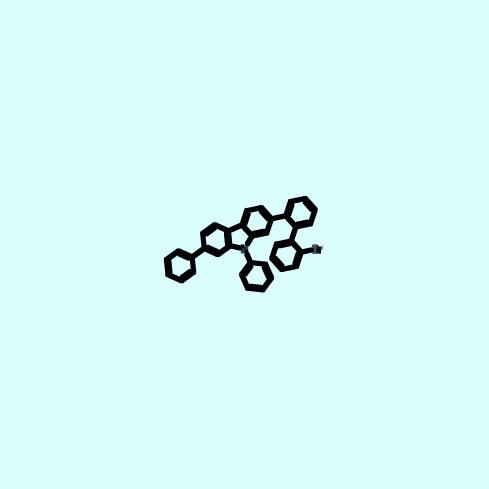 Brc1ccccc1-c1ccccc1-c1ccc2c3ccc(-c4ccccc4)cc3n(-c3ccccc3)c2c1